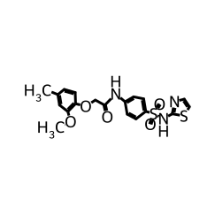 COc1cc(C)ccc1OCC(=O)Nc1ccc(S(=O)(=O)Nc2nccs2)cc1